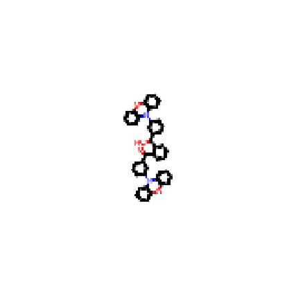 O=C(c1cccc(N2c3ccccc3Oc3ccccc32)c1)c1ccccc1C(O)c1cccc(N2c3ccccc3Oc3ccccc32)c1